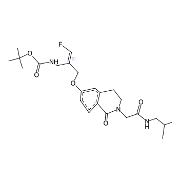 CC(C)CNC(=O)CN1CCc2cc(OC/C(=C/F)CNC(=O)OC(C)(C)C)ccc2C1=O